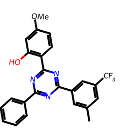 COc1ccc(-c2nc(-c3ccccc3)nc(-c3cc(C)cc(C(F)(F)F)c3)n2)c(O)c1